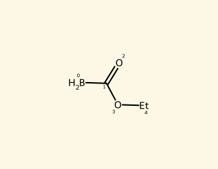 BC(=O)OCC